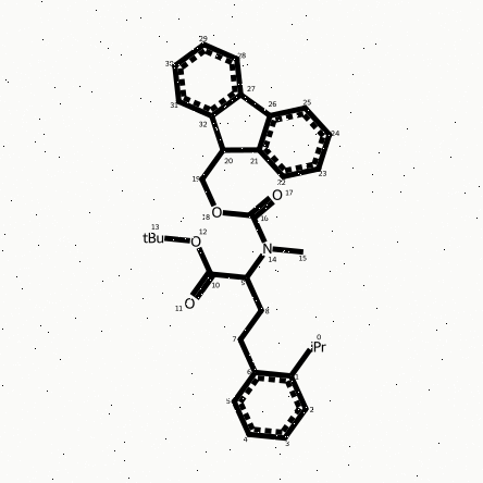 CC(C)c1ccccc1CCC(C(=O)OC(C)(C)C)N(C)C(=O)OCC1c2ccccc2-c2ccccc21